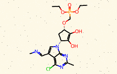 CCOP(=O)(CO[C@H]1C[C@@H](n2cc(/C=N/C)c3c(Cl)nc(C)nc32)C(O)=C1O)OCC